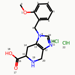 COc1ccccc1Cn1cnc2c1CC(C(=O)O)NC2.Cl.Cl